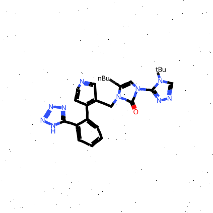 CCCCc1cn(-c2nncn2C(C)(C)C)c(=O)n1Cc1cnccc1-c1ccccc1-c1nnn[nH]1